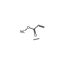 C=CC(=O)OC#N.CC